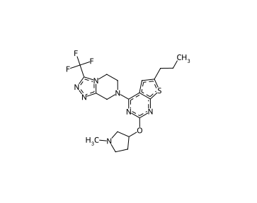 CCCc1cc2c(N3CCn4c(nnc4C(F)(F)F)C3)nc(OC3CCN(C)C3)nc2s1